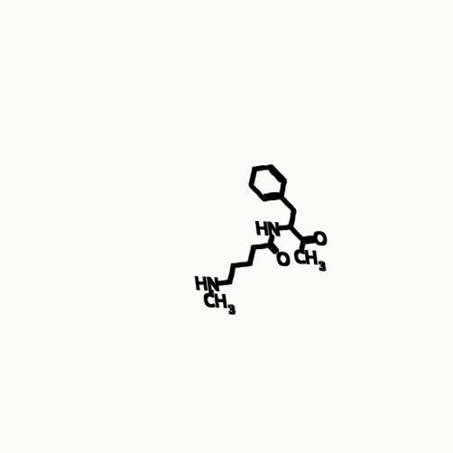 CNCCCCC(=O)NC(CC1=CCCC=C1)C(C)=O